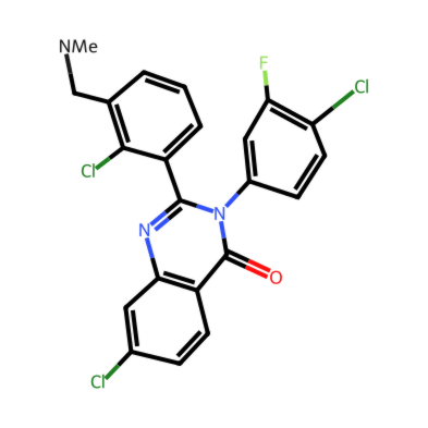 CNCc1cccc(-c2nc3cc(Cl)ccc3c(=O)n2-c2ccc(Cl)c(F)c2)c1Cl